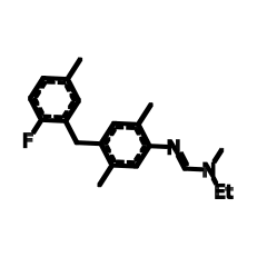 CCN(C)C=Nc1cc(C)c(Cc2cc(C)ccc2F)cc1C